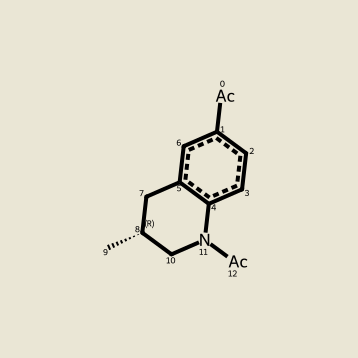 CC(=O)c1ccc2c(c1)C[C@@H](C)CN2C(C)=O